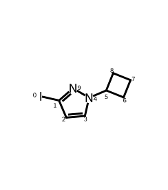 Ic1ccn(C2CCC2)n1